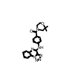 CC1(C)CN(C(=O)c2ccc(Nc3nc4ccccc4n4nnnc34)cc2)CCO1